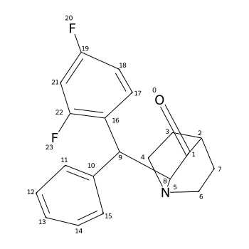 O=C1C2CCN(CC2)C1C(c1ccccc1)c1ccc(F)cc1F